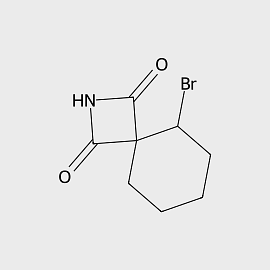 O=C1NC(=O)C12CCCCC2Br